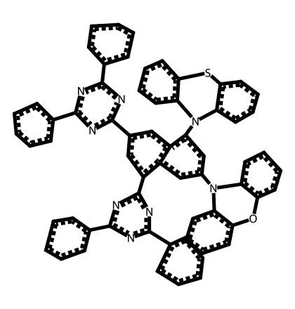 c1ccc(-c2nc(-c3ccccc3)nc(-c3cc(-c4nc(-c5ccccc5)nc(-c5ccccc5)n4)c4cc(N5c6ccccc6Oc6ccccc65)cc(N5c6ccccc6Sc6ccccc65)c4c3)n2)cc1